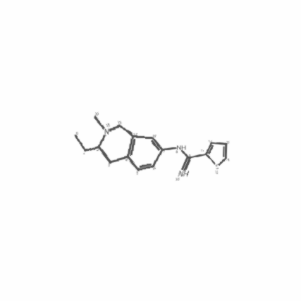 CCC1Cc2ccc(NC(=N)c3cccs3)cc2CN1C